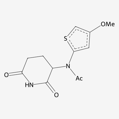 COc1csc(N(C(C)=O)C2CCC(=O)NC2=O)c1